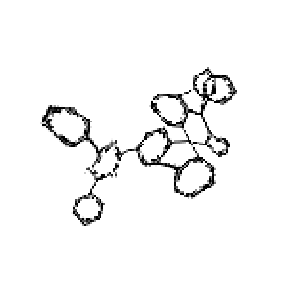 c1ccc(-c2nc(-c3ccccc3)nc(-c3ccc4c(c3)-c3ccccc3C43c4ccccc4C4(c5ccccc5)c5ccccc5-c5cccc3c54)n2)cc1